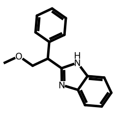 COCC(c1ccccc1)c1nc2ccccc2[nH]1